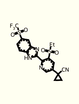 CCS(=O)(=O)c1cc(C2(C#N)CC2)cnc1-c1nc2cc(S(=O)(=O)C(F)(F)F)ccc2[nH]1